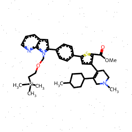 COC(=O)c1sc(-c2ccc(-c3cc4cccnc4n3COCC[Si](C)(C)C)cc2)cc1C1=C(C2CCC(C)CC2)CN(C)CC1